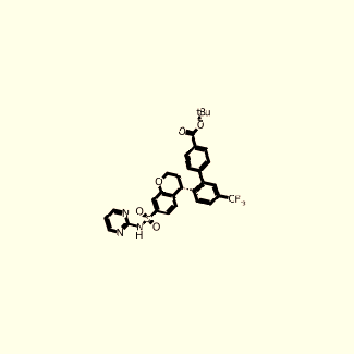 CC(C)(C)OC(=O)c1ccc(-c2cc(C(F)(F)F)ccc2[C@H]2CCOc3cc(S(=O)(=O)Nc4ncccn4)ccc32)cc1